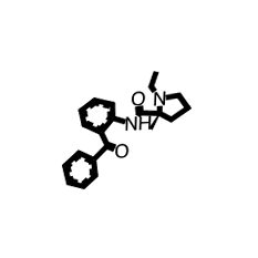 CCN1CCC[C@]1(C)C(=O)Nc1ccccc1C(=O)c1ccccc1